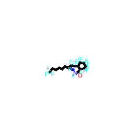 O=C1N(F)N(F)C(F)(C(F)CCCCCCC(F)(F)F)C2(F)C(F)(F)C(F)(F)C(F)(F)C(F)(F)C12F